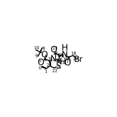 C=CC1=C(C(=O)OC(C)(C)C)N2C(=O)[C@@H](NC(=O)CBr)[C@@H]2SC1